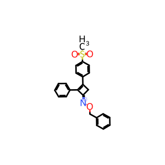 CS(=O)(=O)c1ccc(C2=C(c3ccccc3)/C(=N/OCc3ccccc3)C2)cc1